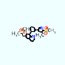 Cc1cc(-c2cccc(-c3cc(CC(C)S(C)(=O)=O)cc4cccnc34)c2)cnc1S(C)(=O)=O